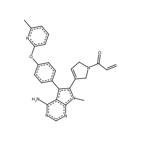 C=CC(=O)N1CC=C(c2c(-c3ccc(Oc4cccc(C)n4)cc3)c3c(N)ncnc3n2C)C1